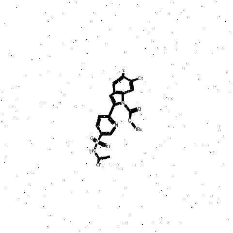 CCc1cc2c(cc1F)cc(-c1ccc(S(=O)(=O)NC(C)C(F)(F)F)cn1)n2C(=O)OC(C)(C)C